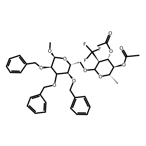 CO[C@H]1O[C@H](COC2O[C@@H](C)[C@H](OC(C)=O)[C@@H](OC(C)=O)[C@@H]2C(F)(F)F)[C@@H](OCc2ccccc2)C(OCc2ccccc2)[C@H]1OCc1ccccc1